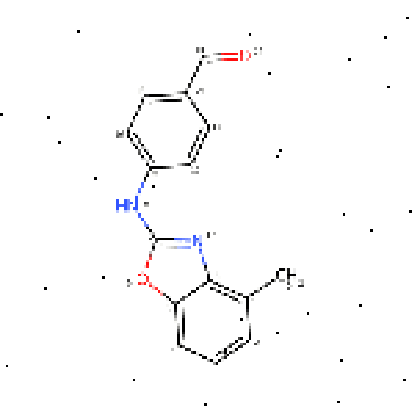 Cc1cccc2oc(Nc3ccc(C=O)cc3)nc12